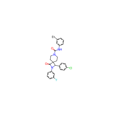 CCc1cccc(NC(=O)N2CCC3(CC2)C(=O)N(c2cccc(F)c2)C3c2ccc(Cl)cc2)c1